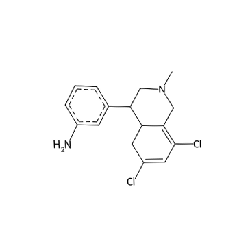 CN1CC2=C(Cl)C=C(Cl)CC2C(c2cccc(N)c2)C1